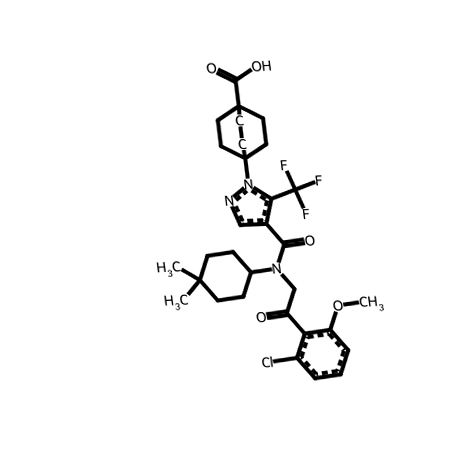 COc1cccc(Cl)c1C(=O)CN(C(=O)c1cnn(C23CCC(C(=O)O)(CC2)CC3)c1C(F)(F)F)C1CCC(C)(C)CC1